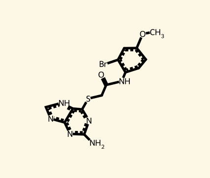 COc1ccc(NC(=O)CSc2nc(N)nc3nc[nH]c23)c(Br)c1